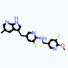 COc1ncc(CNc2ncc(Cc3c[nH]c4ncc(C)cc34)cc2F)cc1F